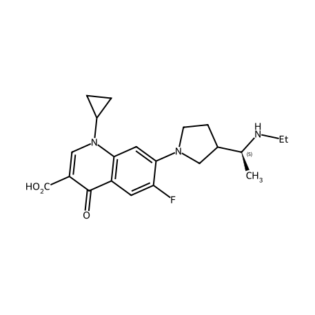 CCN[C@@H](C)C1CCN(c2cc3c(cc2F)c(=O)c(C(=O)O)cn3C2CC2)C1